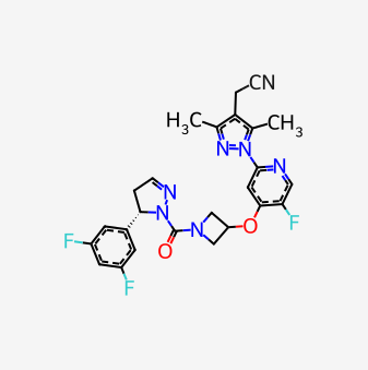 Cc1nn(-c2cc(OC3CN(C(=O)N4N=CC[C@H]4c4cc(F)cc(F)c4)C3)c(F)cn2)c(C)c1CC#N